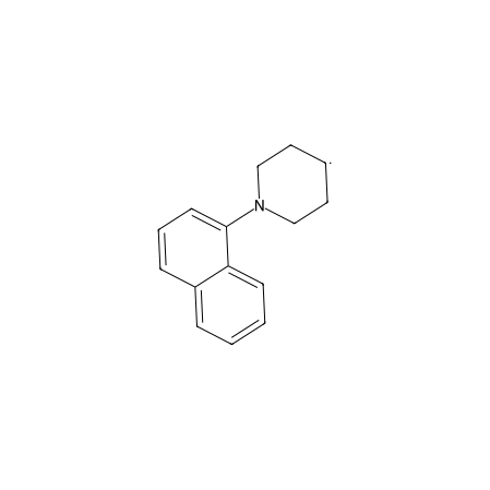 [CH]1CCN(c2cccc3ccccc23)CC1